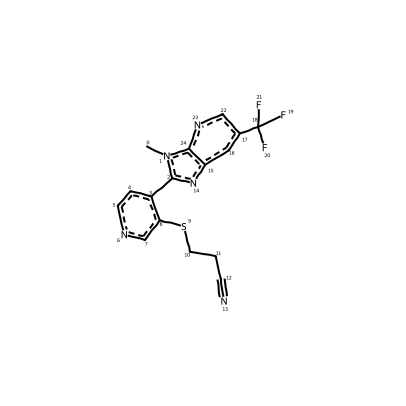 Cn1c(-c2ccncc2SCCC#N)nc2cc(C(F)(F)F)cnc21